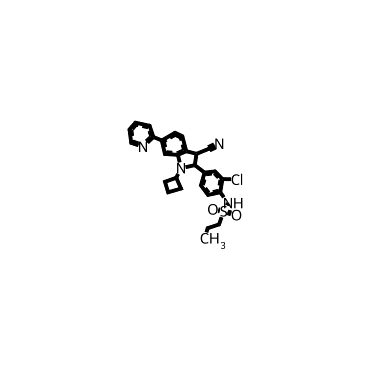 CCCS(=O)(=O)Nc1ccc(C2C(C#N)c3ccc(-c4ccccn4)cc3N2C2CCC2)cc1Cl